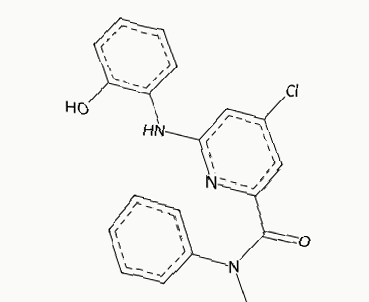 CN(C(=O)c1cc(Cl)cc(Nc2ccccc2O)n1)c1ccccc1